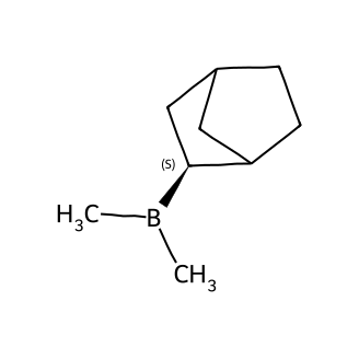 CB(C)[C@H]1CC2CCC1C2